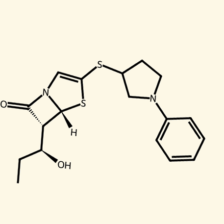 CC[C@H](O)[C@@H]1C(=O)N2C=C(SC3CCN(c4ccccc4)C3)S[C@H]12